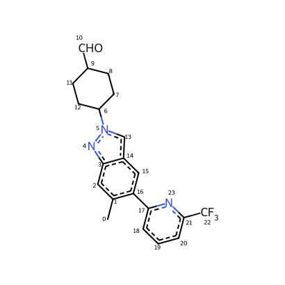 Cc1cc2nn(C3CCC(C=O)CC3)cc2cc1-c1cccc(C(F)(F)F)n1